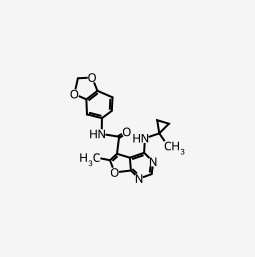 Cc1oc2ncnc(NC3(C)CC3)c2c1C(=O)Nc1ccc2c(c1)OCO2